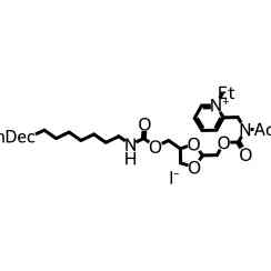 CCCCCCCCCCCCCCCCCNC(=O)OCC1COC(COC(=O)N(Cc2cccc[n+]2CC)C(C)=O)O1.[I-]